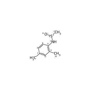 Cc1ccc(N[S+](C)[O-])c(C)c1